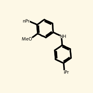 CCCc1ccc(Nc2ccc(C(C)C)cc2)cc1OC